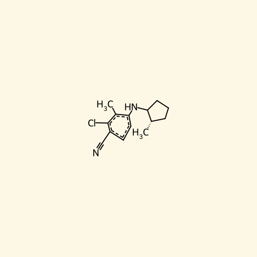 Cc1c(NC2CCC[C@@H]2C)ccc(C#N)c1Cl